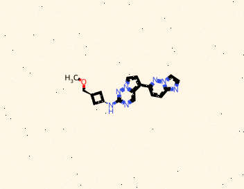 COC[C@H]1C[C@H](Nc2ncc3c(-c4ccc5nccn5n4)ccn3n2)C1